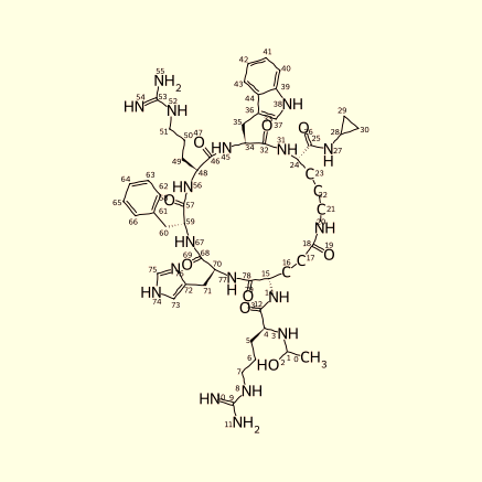 CC(O)N[C@@H](CCCNC(=N)N)C(=O)N[C@H]1CCC(=O)NCCC[C@@H](C(=O)NC2CC2)NC(=O)[C@H](Cc2c[nH]c3ccccc23)NC(=O)[C@H](CCCNC(=N)N)NC(=O)[C@@H](Cc2ccccc2)NC(=O)[C@H](Cc2c[nH]cn2)NC1=O